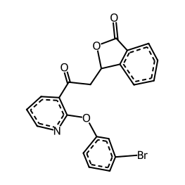 O=C1OC(CC(=O)c2cccnc2Oc2cccc(Br)c2)c2ccccc21